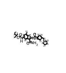 CCC(C)(C)OC(=O)Nc1cc(C)c2sc(NC(=O)c3ccc(CN4CCCC4)cc3)c(C(N)=O)c2c1